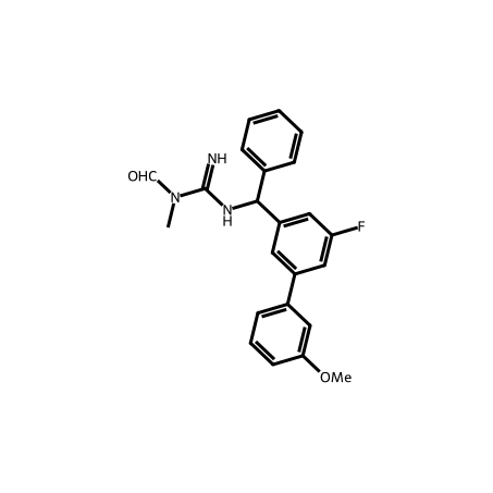 COc1cccc(-c2cc(F)cc(C(NC(=N)N(C)C=O)c3ccccc3)c2)c1